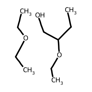 CCOC(CC)CO.CCOCC